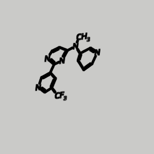 CN(c1cccnc1)c1ccnc(-c2cncc(C(F)(F)F)c2)n1